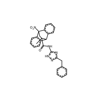 CC1(C(=O)Nc2nc(Cc3ccccc3)n[nH]2)CC2([N+](=O)[O-])c3ccccc3C1c1ccccc12